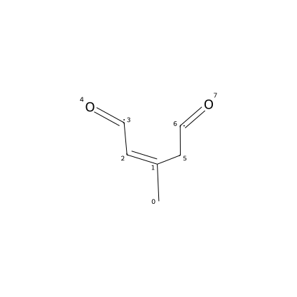 CC(=C[C]=O)C[C]=O